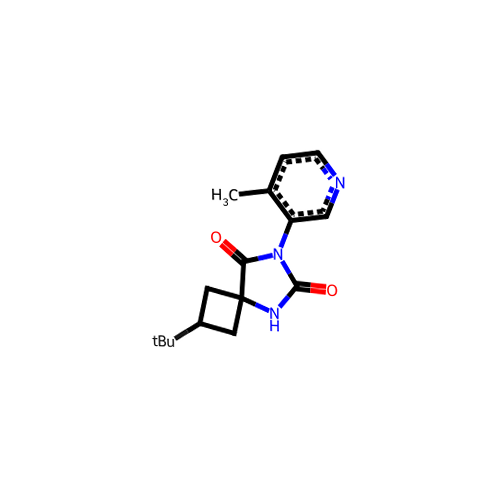 Cc1ccncc1N1C(=O)NC2(CC(C(C)(C)C)C2)C1=O